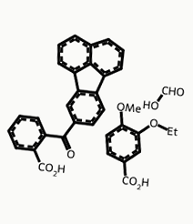 CCOc1cc(C(=O)O)ccc1OC.O=C(O)c1ccccc1C(=O)c1ccc2c(c1)-c1cccc3cccc-2c13.O=CO